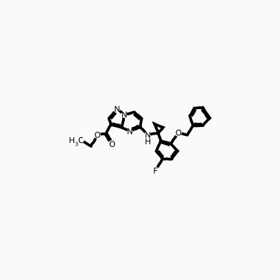 CCOC(=O)c1cnn2ccc(NC3(c4cc(F)ccc4OCc4ccccc4)CC3)nc12